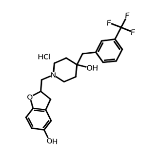 Cl.Oc1ccc2c(c1)CC(CN1CCC(O)(Cc3cccc(C(F)(F)F)c3)CC1)O2